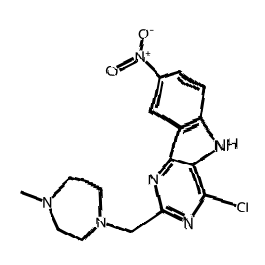 CN1CCN(Cc2nc(Cl)c3[nH]c4ccc([N+](=O)[O-])cc4c3n2)CC1